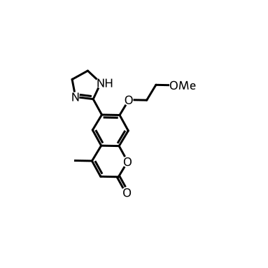 COCCOc1cc2oc(=O)cc(C)c2cc1C1=NCCN1